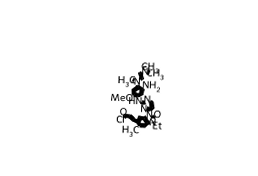 CCn1c(=O)n(-c2ccnc(Nc3cc(N)c(N(C)CCN(C)C)cc3OC)n2)c2cc(C=CC(=O)Cl)c(C)cc21